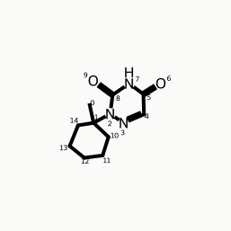 CC1(n2ncc(=O)[nH]c2=O)CCCCC1